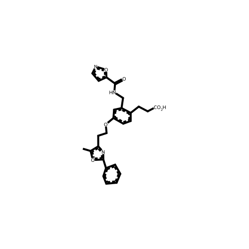 Cc1oc(-c2ccccc2)nc1CCOc1ccc(CCC(=O)O)c(CNC(=O)c2ccno2)c1